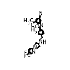 CC(C)c1cc(C#N)cc2nc(-c3ccc(CCNC4CCN(c5ccc(C(F)(F)F)cn5)CC4)cc3)oc12